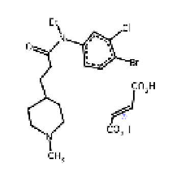 CCN(C(=O)CCC1CCN(C)CC1)c1ccc(Br)c(Cl)c1.O=C(O)/C=C/C(=O)O